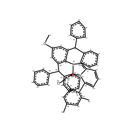 COc1cc(C(c2ccccc2)c2ccccc2)c(N2C=C3C=CC=C(c4c(C)cc(C)cc4C)N3[CH]2[Au][Cl])c(C(c2ccccc2)c2ccccc2)c1